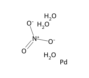 O.O.O.O=[N+]([O-])[O-].[Pd]